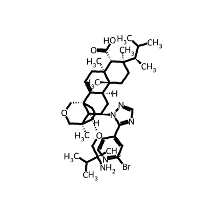 CC(C)[C@@H](C)[C@@]1(C)CC[C@]2(C)[C@H]3CC[C@@H]4[C@@]5(COC[C@]4(C)[C@@H](OC[C@](C)(N)C(C)C)[C@H](n4ncnc4-c4ccnc(Br)c4)C5)C3=CC[C@@]2(C)[C@@H]1C(=O)O